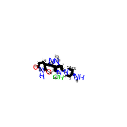 CNC1CCN(c2cc3c(cn2)c(C2CCC(=O)NC2=O)nn3C)CC1.Cl